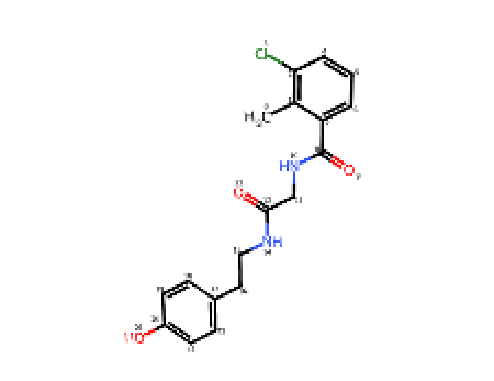 Cc1c(Cl)cccc1C(=O)NCC(=O)NCCc1ccc(O)cc1